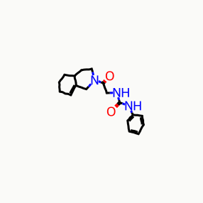 O=C(NCC(=O)N1CCC2CCCC=C2C1)Nc1ccccc1